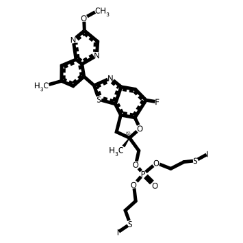 COc1cnc2c(-c3nc4cc(F)c5c(c4s3)C[C@@](C)(COP(=O)(OCCSI)OCCSI)O5)cc(C)cc2n1